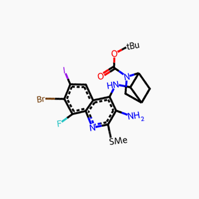 CSc1nc2c(F)c(Br)c(I)cc2c(NC2C3CC2N(C(=O)OC(C)(C)C)C3)c1N